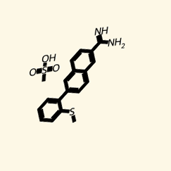 CS(=O)(=O)O.CSc1ccccc1-c1ccc2cc(C(=N)N)ccc2c1